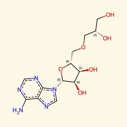 Nc1ncnc2c1ncn2[C@@H]1O[C@H](COC[C@@H](O)CO)[C@@H](O)[C@H]1O